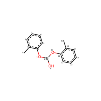 Cc1ccccc1OB(O)Oc1ccccc1C